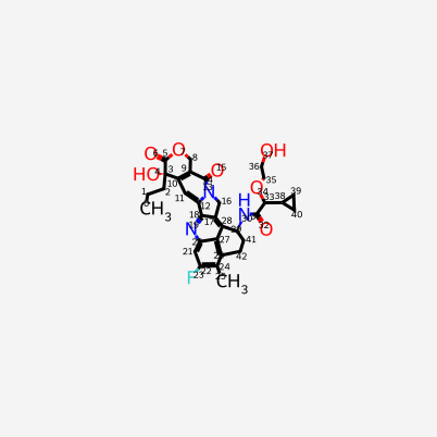 CCC[C@@]1(O)C(=O)OCc2c1cc1n(c2=O)Cc2c-1nc1cc(F)c(C)c3c1c2[C@@H](NC(=O)C(OCCO)C1CC1)CC3